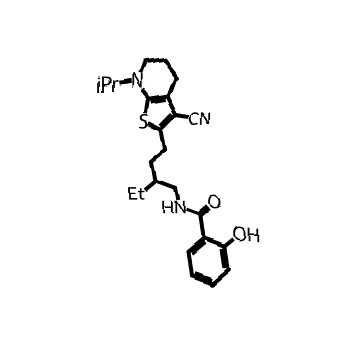 CCC(CCc1sc2c(c1C#N)CCCN2C(C)C)CNC(=O)c1ccccc1O